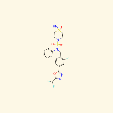 N=S1(=O)CCN(S(=O)(=O)N(Cc2ccc(-c3nnc(C(F)F)o3)cc2F)c2ccccc2)CC1